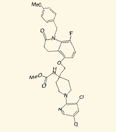 COC(=O)NC1(COc2ccc(F)c3c2CCC(=O)N3Cc2ccc(OC)cc2)CCN(c2ncc(Cl)cc2Cl)CC1